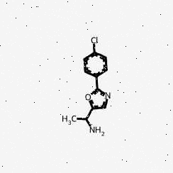 CC(N)c1cnc(-c2ccc(Cl)cc2)o1